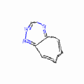 [c]1cccc2nncnc12